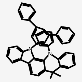 CC1(C)c2ccccc2N(c2ccccc2)c2c1ccc1c3ccccc3n(-c3cc(-c4ccccc4)cc(-c4ccccc4)c3)c21